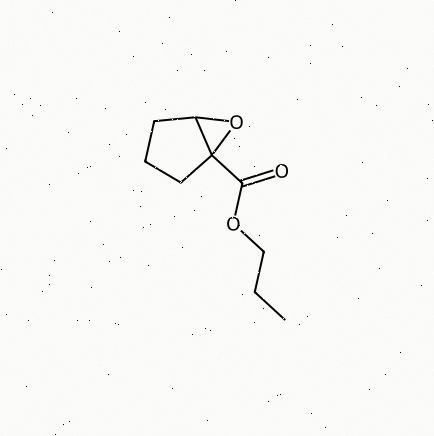 CCCOC(=O)C12CCCC1O2